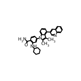 Cc1c(C)n(-c2ccc(C(N)=O)c(NC3CCCCC3)c2)c2cccc(-c3cnc4ccccc4c3)c12